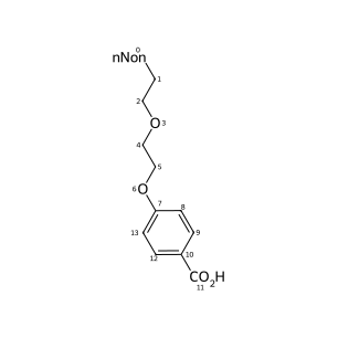 CCCCCCCCCCCOCCOc1ccc(C(=O)O)cc1